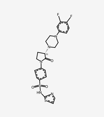 O=C1[C@@H](N2CCN(c3ccc(F)c(F)c3)CC2)CCN1c1ccc(S(=O)(=O)Nc2nccs2)cc1